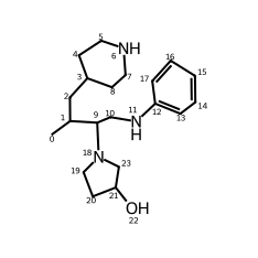 CC(CC1CCNCC1)C(CNc1ccccc1)N1CCC(O)C1